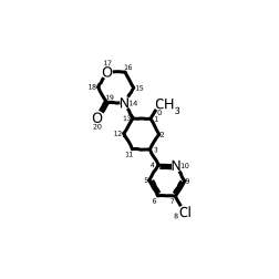 CC1CC(c2ccc(Cl)cn2)C[CH]C1N1CCOCC1=O